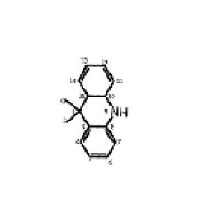 CC1(C)c2ccccc2NC2C=CC=CC21